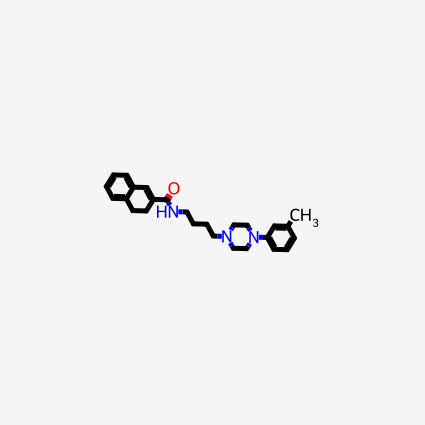 Cc1cccc(N2CCN(CCCCNC(=O)C3=Cc4ccccc4CC3)CC2)c1